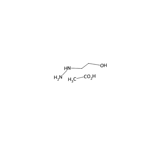 CC(=O)O.NNCCO